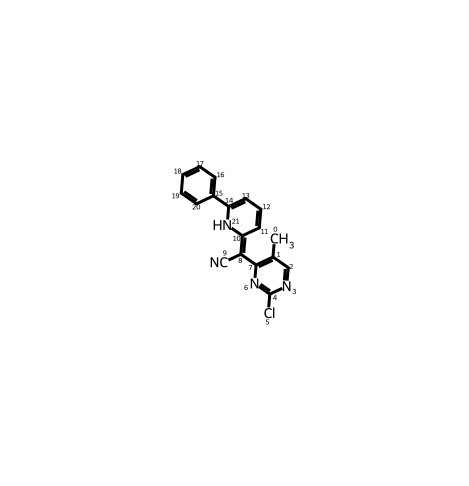 Cc1cnc(Cl)nc1C(C#N)=C1C=CC=C(c2ccccc2)N1